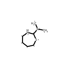 CN(C)C1NCCCCS1